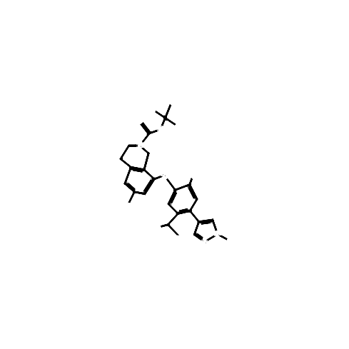 Cn1cc(-c2cc(F)c(Nc3cc(Cl)cc4c3CN(C(=O)OC(C)(C)C)CC4)cc2C(F)F)cn1